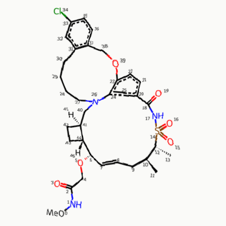 CONC(=O)CO[C@H]1/C=C/C[C@H](C)[C@@H](C)S(=O)(=O)NC(=O)c2ccc3c(c2)N(CCCCc2cc(Cl)ccc2CO3)C[C@@H]2CC[C@H]21